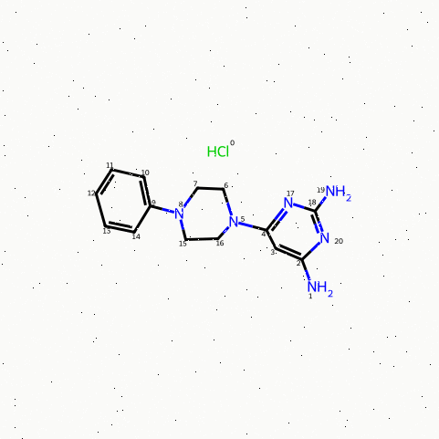 Cl.Nc1cc(N2CCN(c3ccccc3)CC2)nc(N)n1